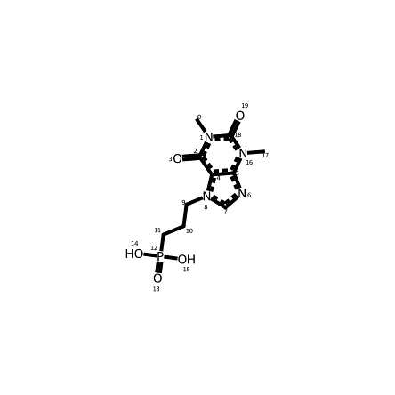 Cn1c(=O)c2c(ncn2CCCP(=O)(O)O)n(C)c1=O